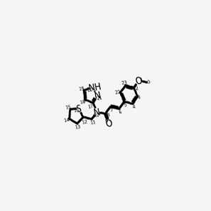 COc1ccc(C=CC(=O)N(CC2CCCS2)c2cc[nH]n2)cc1